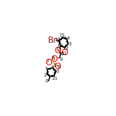 Cc1ccc(S(=O)(=O)OCC2Oc3cccc(Br)c3O2)cc1